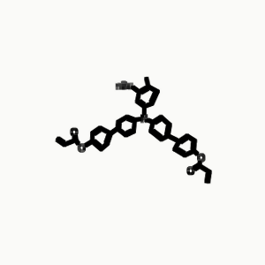 C=CC(=O)Oc1ccc(-c2ccc(N(c3ccc(-c4ccc(OC(=O)C=C)cc4)cc3)c3ccc(C)c(CCCC)c3)cc2)cc1